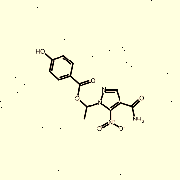 CC(OC(=O)c1ccc(O)cc1)n1ncc(C(N)=O)c1[N+](=O)[O-]